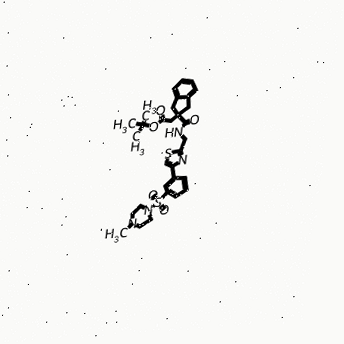 CN1CCN(S(=O)(=O)c2cccc(-c3csc(CNC(=O)C4(CC(=O)OC(C)(C)C)Cc5ccccc5C4)n3)c2)CC1